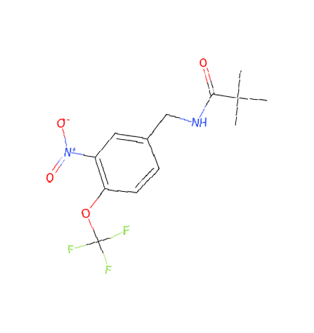 CC(C)(C)C(=O)NCc1ccc(OC(F)(F)F)c([N+](=O)[O-])c1